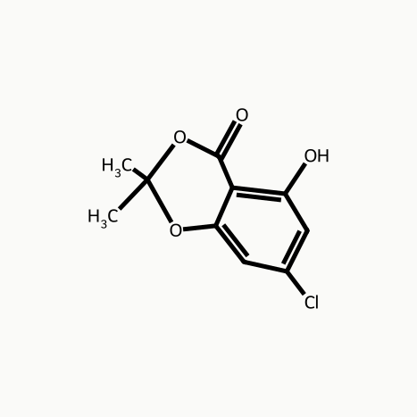 CC1(C)OC(=O)c2c(O)cc(Cl)cc2O1